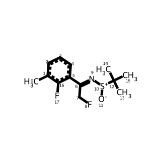 Cc1cccc(C(CF)=N[S+]([O-])C(C)(C)C)c1F